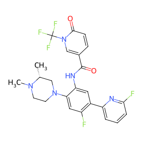 C[C@@H]1CN(c2cc(F)c(-c3cccc(F)n3)cc2NC(=O)c2ccc(=O)n(C(F)(F)F)c2)CCN1C